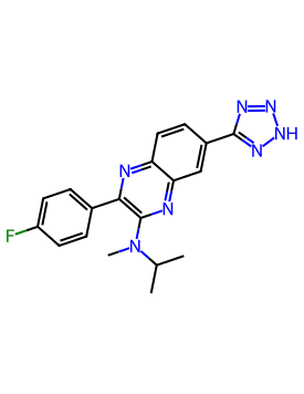 CC(C)N(C)c1nc2cc(-c3nn[nH]n3)ccc2nc1-c1ccc(F)cc1